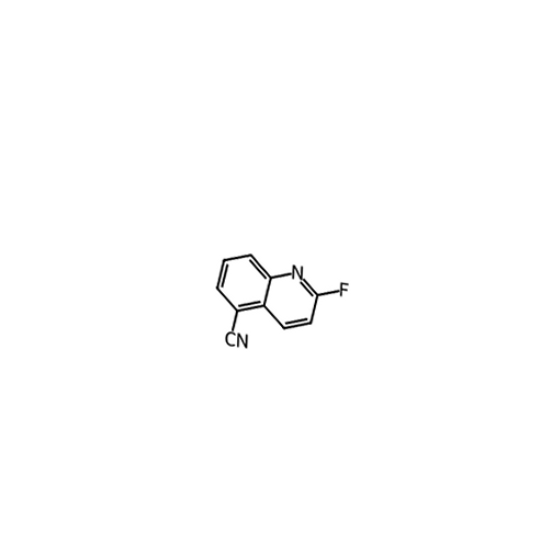 N#Cc1cccc2nc(F)ccc12